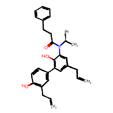 C=CCc1cc(-c2ccc(O)c(CC=C)c2)c(O)c(N(C(=O)CCc2ccccc2)[C@H](C)C(C)C)c1